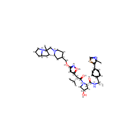 Cc1ncsc1-c1ccc([C@H](C)NC(=O)[C@@H]2C[C@@H](O)CN2C(=O)[C@@H](c2cc(OCC3CCN(CC4(C)CCC5CCCN54)CC3)no2)C(C)C)cc1